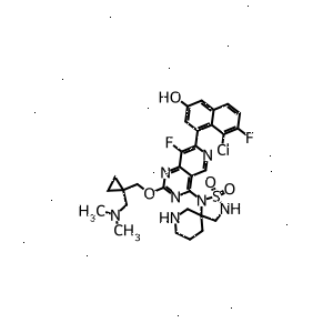 CN(C)CC1(COc2nc(N3C4(CCCNC4)CNS3(=O)=O)c3cnc(-c4cc(O)cc5ccc(F)c(Cl)c45)c(F)c3n2)CC1